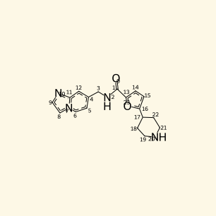 O=C(NCc1ccn2ccnc2c1)c1ccc(C2CCNCC2)o1